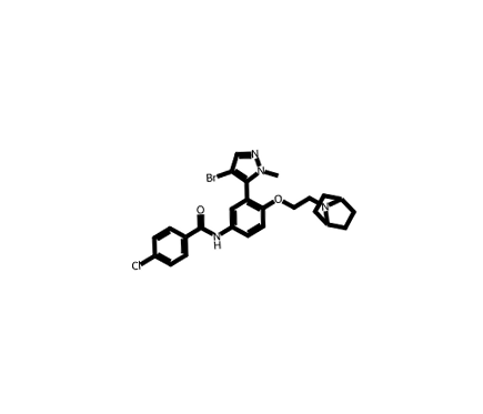 Cn1ncc(Br)c1-c1cc(NC(=O)c2ccc(Cl)cc2)ccc1OCCN1C2CCC1CC2